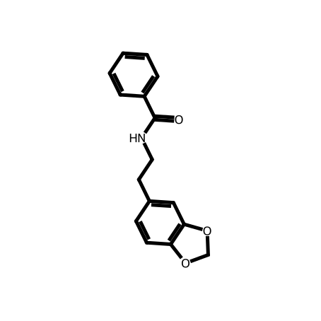 O=C(NCCc1ccc2c(c1)OCO2)c1ccccc1